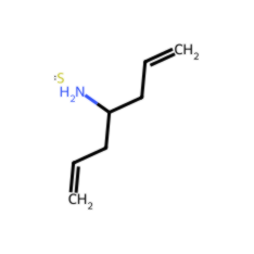 C=CCC(N)CC=C.[S]